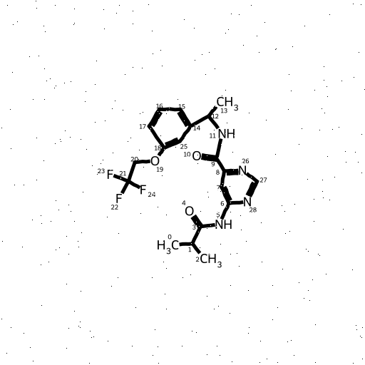 CC(C)C(=O)Nc1cc(C(=O)NC(C)c2cccc(OCC(F)(F)F)c2)ncn1